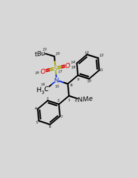 CNC(c1ccccc1)C(c1ccccc1)N(C)S(=O)(=O)CC(C)(C)C